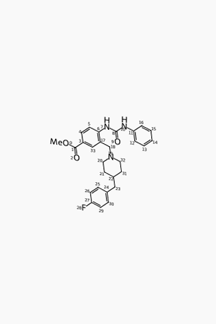 COC(=O)c1ccc(NC(=O)Nc2ccccc2)c(CN2CCC(Cc3ccc(F)cc3)CC2)c1